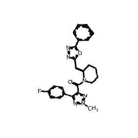 Cn1nc(C(=O)N2CCCCC2Cc2nnc(-c3ccccc3)o2)c(-c2ccc(F)cc2)n1